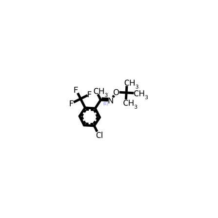 C/C(=N\OC(C)(C)C)c1cc(Cl)ccc1C(F)(F)F